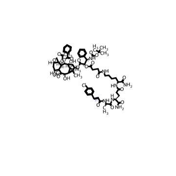 CC(=O)O[C@@]12CO[C@@H]1C[C@H](O)[C@@]1(C)C(=O)[C@H](O)C3=C(C)[C@@H](OC(=O)[C@H](OC(=O)CCC(=O)NCCCCC(NC(=O)CC[C@H](NC(=O)C(C)NC(=O)/C=C/c4ccc(Cl)cc4)C(N)=O)C(N)=O)[C@H](NC(=O)OC(C)(C)C)c4ccccc4)C[C@@](O)([C@@H](OC(=O)c4ccccc4)[C@H]21)C3(C)C